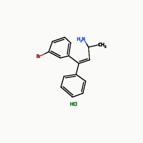 CC(N)C=C(c1ccccc1)c1cccc(Br)c1.Cl